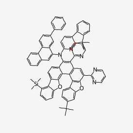 CC(C)(C)c1ccc2c(c1)oc1c(-c3ncccn3)cc3c(-c4ncccn4)c(N(c4ccc5c(c4)C(C)(C)c4ccccc4-5)c4cc5ccccc5c5ccc(-c6ccccc6)cc45)c4ccc5c(oc6cccc([Si](C)(C)C)c65)c4c3c12